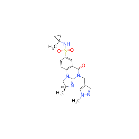 C[C@H]1CN2C(=N1)N(Cc1cnn(C)c1)C(=O)c1cc(S(=O)(=O)NC3(C)CC3)ccc12